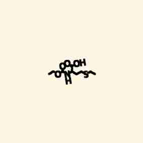 CCOC(=O)NC(CCSCC)C(=O)O